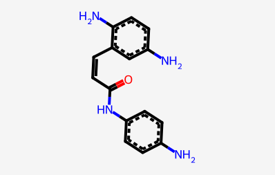 Nc1ccc(NC(=O)/C=C\c2cc(N)ccc2N)cc1